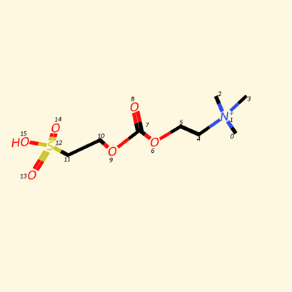 C[N+](C)(C)CCOC(=O)OCCS(=O)(=O)O